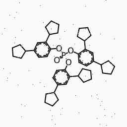 O=P(Oc1ccc(C2CCCC2)cc1C1CCCC1)(Oc1ccc(C2CCCC2)cc1C1CCCC1)Oc1ccc(C2CCCC2)cc1C1CCCC1